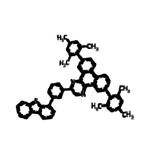 Cc1cc(C)c(-c2ccc3c4ccc(-c5c(C)cc(C)cc5C)cc4c4nc(-c5cccc(-c6cccc7c6sc6ccccc67)c5)cnc4c3c2)c(C)c1